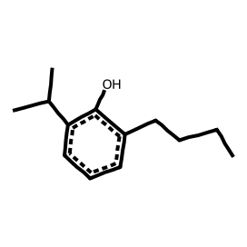 CCCCc1cccc(C(C)C)c1O